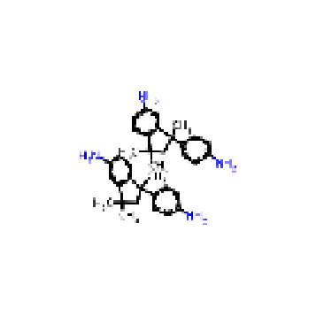 CC1(C)CC(C)(c2ccc(N)cc2)c2cc(N)ccc21.CC1(C)CC(C)(c2ccc(N)cc2)c2ccc(N)cc21